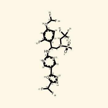 CS(=O)(=O)N(CC(Nc1ncc(-c2nnc(C(F)F)o2)cn1)c1ccc(OC(F)F)cc1F)CC(F)(F)F